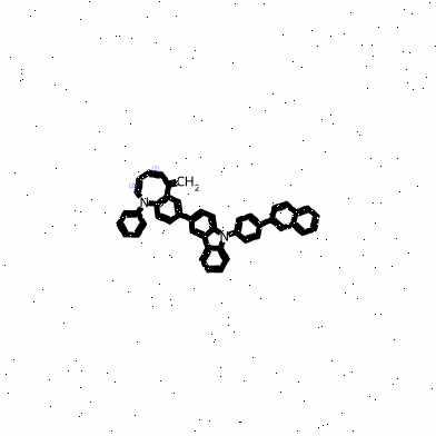 C=C1/C=C\C=C/N(c2ccccc2)c2ccc(-c3ccc4c(c3)c3ccccc3n4-c3ccc(-c4ccc5ccccc5c4)cc3)cc21